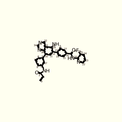 C=CC(=O)Nc1cccc(-c2cc(-c3ccc(C(=O)Nc4ncccc4F)cc3)c(N)c3cncnc23)c1